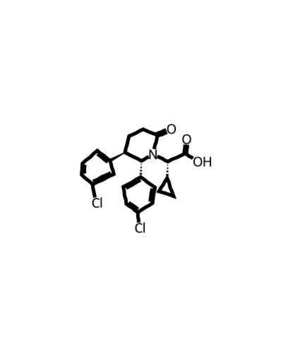 O=C(O)[C@H](C1CC1)N1C(=O)CC[C@H](c2cccc(Cl)c2)[C@H]1c1ccc(Cl)cc1